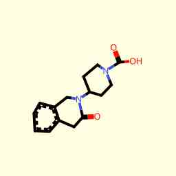 O=C(O)N1CCC(N2Cc3ccccc3CC2=O)CC1